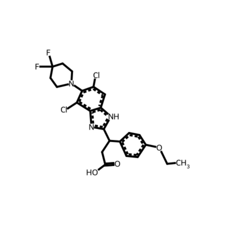 CCOc1ccc(C(CC(=O)O)c2nc3c(Cl)c(N4CCC(F)(F)CC4)c(Cl)cc3[nH]2)cc1